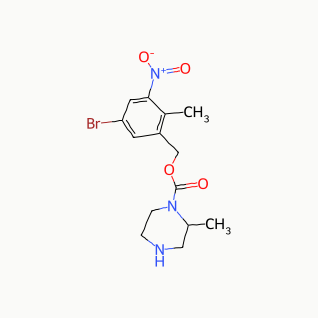 Cc1c(COC(=O)N2CCNCC2C)cc(Br)cc1[N+](=O)[O-]